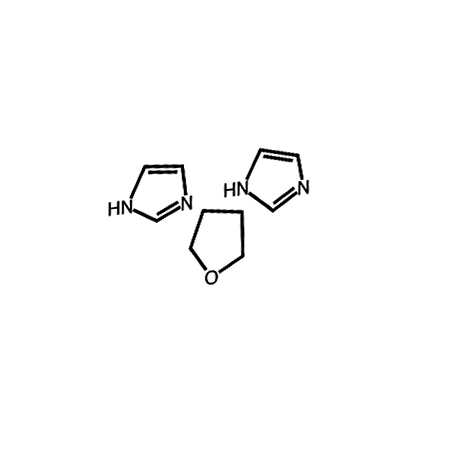 C1CCOC1.c1c[nH]cn1.c1c[nH]cn1